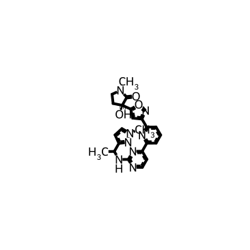 CC(Nc1nccc(-c2cccc(-c3cc([C@]4(O)CCN(C)C4=O)on3)n2)n1)c1ccn(C)n1